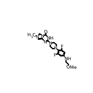 COCCNc1cc(F)c(N2CCN(C3=NC4=CN(C)CN4C(=O)N3)CC2)c(F)c1